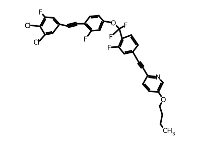 CCCCOc1ccc(C#Cc2ccc(C(F)(F)Oc3ccc(C#Cc4cc(F)c(Cl)c(Cl)c4)c(F)c3)c(F)c2)nc1